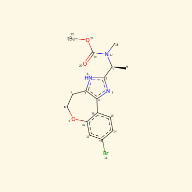 C[C@@H](c1nc2c([nH]1)CCOc1cc(Br)ccc1-2)N(C)C(=O)OC(C)(C)C